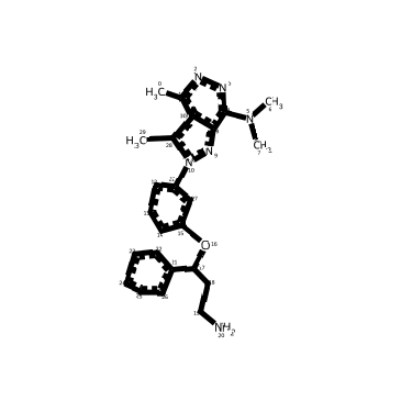 Cc1nnc(N(C)C)c2nn(-c3cccc(OC(CCN)c4ccccc4)c3)c(C)c12